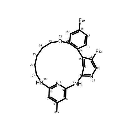 [CH2]c1cc2nc(c1)Nc1cc(c(F)cn1)-c1ccc(F)cc1OCCCCCN2